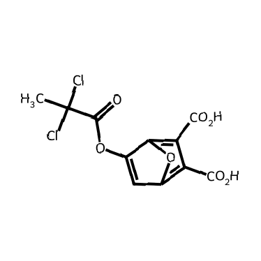 CC(Cl)(Cl)C(=O)Oc1cc2oc1c(C(=O)O)c2C(=O)O